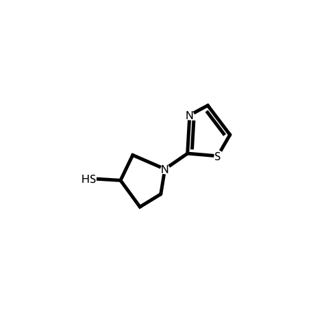 SC1CCN(c2nccs2)C1